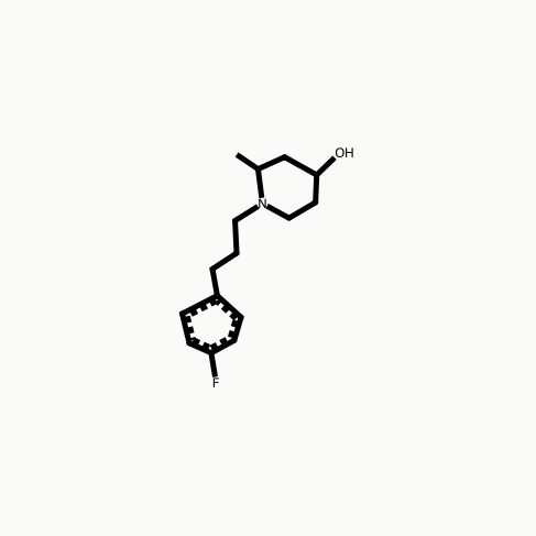 CC1CC(O)CCN1CCCc1ccc(F)cc1